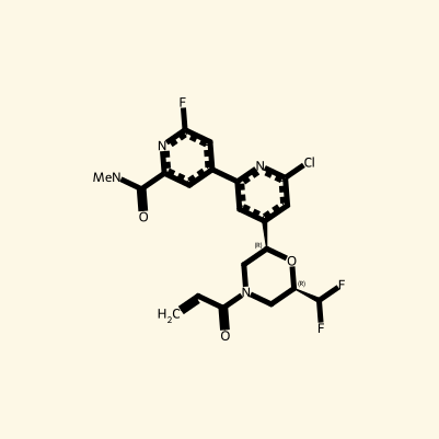 C=CC(=O)N1C[C@@H](c2cc(Cl)nc(-c3cc(F)nc(C(=O)NC)c3)c2)O[C@@H](C(F)F)C1